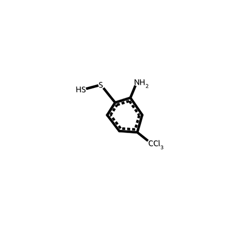 Nc1cc(C(Cl)(Cl)Cl)ccc1SS